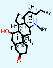 CC(=O)CC[C@@H](C)[C@H]1CC[C@H]2[C@@H]3C(O)C[C@@H]4CC(=O)CC[C@]4(C)[C@H]3CC(NC(C)C)[C@]12C